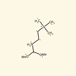 COC(OC)[SiH2]CC[Si](C)(C)C